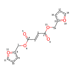 O=C(/C=C/C(=O)OCc1ccco1)OCc1ccco1